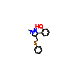 Cn1cc(CSc2ccccc2)c(-c2ccccc2O)n1